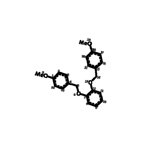 COc1ccc(COc2c[c]ccc2OCc2ccc(OC)cc2)cc1